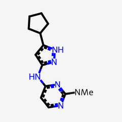 CNc1nccc(Nc2cc(C3CCCC3)[nH]n2)n1